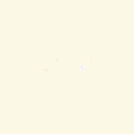 CC(CS)c1ccc(Cn2ccccc2=O)cc1